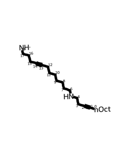 CCCCCCCCC#CCCNCCCCCCCC#CCCC[NH]